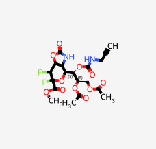 C#CCNC(=O)O[C@@H](C1OC(F)(C(=O)OC)C(F)C2OC(=O)NC21)[C@@H](COC(C)=O)OC(C)=O